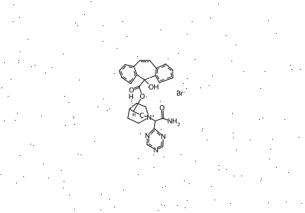 NC(=O)C(c1ncncn1)[N+]12CCC(CC1)[C@@H](OC(=O)C1(O)c3ccccc3C=Cc3ccccc31)C2.[Br-]